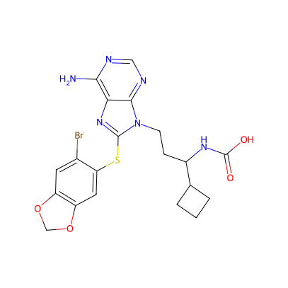 Nc1ncnc2c1nc(Sc1cc3c(cc1Br)OCO3)n2CCC(NC(=O)O)C1CCC1